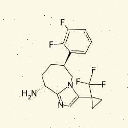 N[C@@H]1CC[C@@H](c2cccc(F)c2F)Cn2c(C3(C(F)(F)F)CC3)cnc21